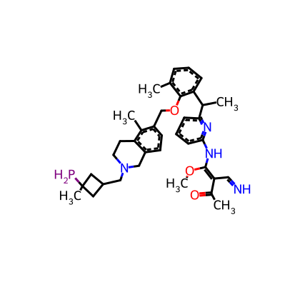 CO/C(Nc1cccc(C(C)c2cccc(C)c2OCc2ccc3c(c2C)CCN(CC2CC(C)(P)C2)C3)n1)=C(/C=N)C(C)=O